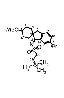 COC1CCC2(CC1)Cc1ccc(Br)cc1C2=NS(=O)(=O)CC[Si](C)(C)C